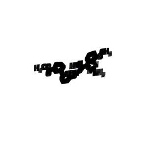 COC(=O)c1cccc(-c2cccc(CN/C=C(\N=N)c3nc(N)nc4c(OC)cccc34)n2)c1